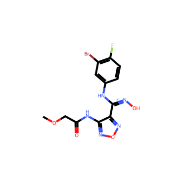 COCC(=O)Nc1nonc1/C(=N\O)Nc1ccc(F)c(Br)c1